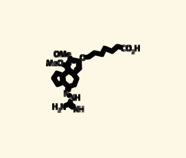 COc1c(OCCCCCCC(=O)O)cc2c(c1OC)C1=C(CCC1)C(=NNC(=N)N)CC2